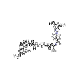 C=C1/C(=C\C=C2/CCC[C@@]3(C)C2CCC3[C@@H](C)/C=C/C(OC(=O)NCCCCCCNC(=O)OCC2OC(N3C=CC(N)=NC3O)C(F)(F)C2O)C2CC2)C[C@@H](O)C[C@@H]1O